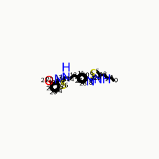 CCCCC1CS/C(=N\c2ccc(CCNc3nc4c(OC)cccc4s3)cc2)N1